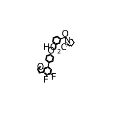 O=C(O)[C@@H]1CCCN1C(=O)c1cccc(COc2ccc(-c3cc(F)c(F)c4ccoc34)cc2)c1